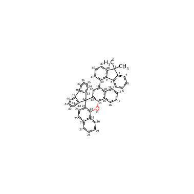 CC1(C)c2ccccc2-c2c(-c3cc4c(c5ccccc35)Oc3c(ccc5ccccc35)C43c4ccccc4-c4ccccc43)cccc21